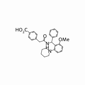 COc1cccc(N2CCCCC2)c1C(NC(=O)Cc1ccc(C(=O)O)cc1)c1ccccc1